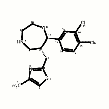 Cc1csc(C[C@@H]2CNCCO[C@H]2c2ccc(Cl)c(Cl)c2)n1